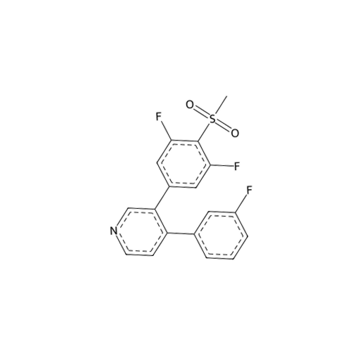 CS(=O)(=O)c1c(F)cc(-c2cnccc2-c2cccc(F)c2)cc1F